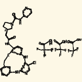 O=C(C[C@H]1CCN(C(=O)Nc2cccnc2)C1)Nc1ccc2cc1CCc1cncc(c1)Nc1ncc(Cl)c(n1)N2.O=C(O)C(F)(F)F.O=C(O)C(F)(F)F.O=C(O)C(F)(F)F